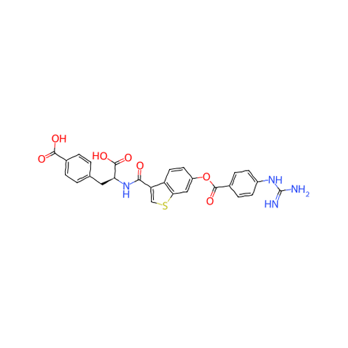 N=C(N)Nc1ccc(C(=O)Oc2ccc3c(C(=O)N[C@@H](Cc4ccc(C(=O)O)cc4)C(=O)O)csc3c2)cc1